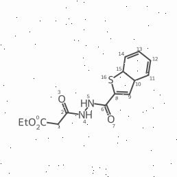 CCOC(=O)CC(=O)NNC(=O)C1=CC2C=CC=CC2S1